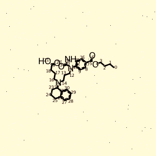 CCCCOC(=O)c1ccc(N(CCCN(CCCC(=O)O)C2CCCc3ccccc32)C(N)=O)cc1